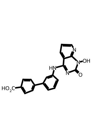 O=C(O)c1ccc(-c2cccc(Nc3nc(=O)n(O)c4ncccc34)c2)cc1